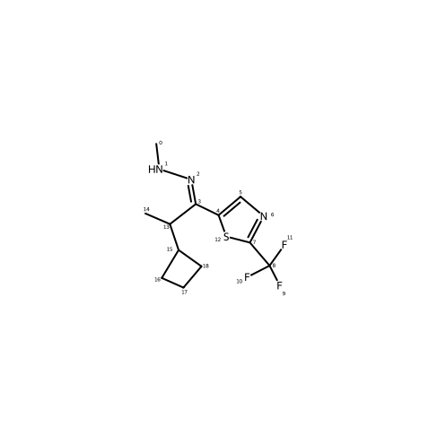 CN/N=C(/c1cnc(C(F)(F)F)s1)C(C)C1CCC1